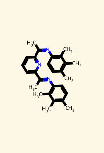 CC(=Nc1ccc(C)c(C)c1C)c1cccc(C(C)=Nc2ccc(C)c(C)c2C)n1